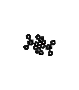 c1ccc(-c2cc(-c3ccc(-c4ccc(-c5cc(-c6ccccc6)nc(-c6ccccc6)n5)cc4N4c5ccccc5Oc5ccccc54)c(N4c5ccccc5Oc5ccccc54)c3)nc(-c3ccccc3)n2)cc1